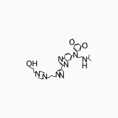 COc1cc(OC)cc(N(CCNC(C)C)c2ccc3ncc(-c4cnn(CCCN5CCN(CCCO)CC5)c4)nc3c2)c1